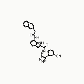 N#Cc1ccc(NC(=O)c2cc3cccc(NC(=O)Cc4ccc5ccccc5c4)c3[nH]2)c(-c2nnn[nH]2)c1